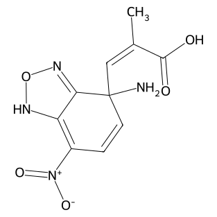 CC(=CC1(N)C=CC([N+](=O)[O-])=C2NON=C21)C(=O)O